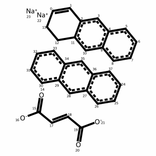 C1=Cc2cc3ccccc3cc2CC1.O=C([O-])C=CC(=O)[O-].[Na+].[Na+].c1ccc2cc3ccccc3cc2c1